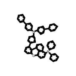 c1ccc(-c2ccc(N(c3ccc(-c4ccccc4)cc3)c3ccc(-c4cccc5c4-c4cccc6c(N(c7ccccc7)c7ccccc7)ccc(c46)O5)cc3)cc2)cc1